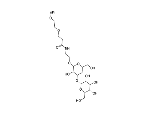 CCCOCCOCCC(=O)NCCOC1OC(CO)CC(O[C@H]2OC(CO)[C@@H](O)C(O)C2O)C1O